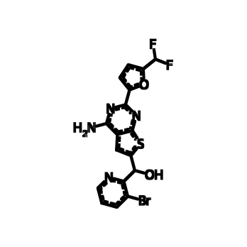 Nc1nc(-c2ccc(C(F)F)o2)nc2sc(C(O)c3ncccc3Br)cc12